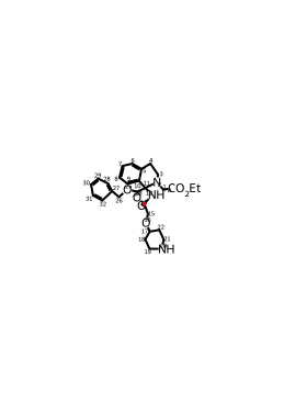 CCOC(=O)CN1CCc2ccccc2C1(NC(=O)COC1CCNCC1)C(=O)OCc1ccccc1